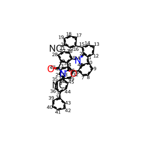 N#Cc1cccc(-c2cccc3c4cccc(-c5cccc(C#N)c5)c4n(-c4cccc5c4C(=O)N(c4ccc(-c6ccccc6)cc4)C5=O)c23)c1